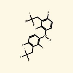 [O-][S+](c1ccc(F)c(CC(F)(F)F)c1F)c1ccc(F)c(CC(F)(F)F)c1F